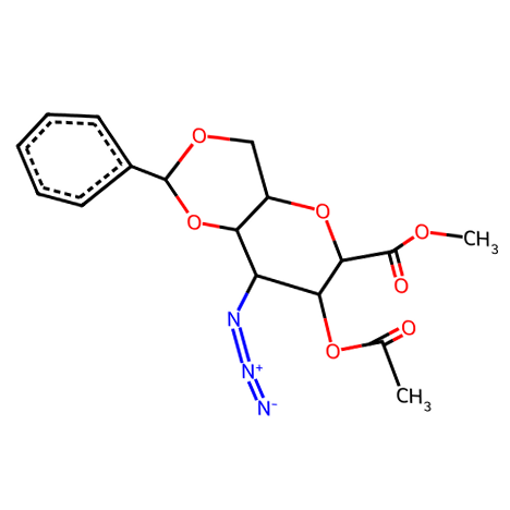 COC(=O)C1OC2COC(c3ccccc3)OC2C(N=[N+]=[N-])C1OC(C)=O